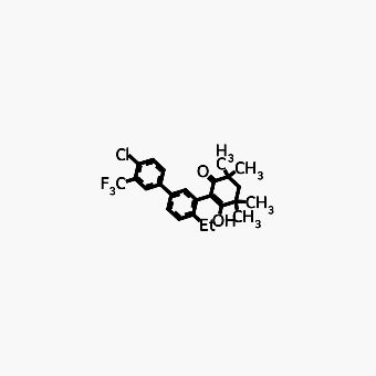 CCc1ccc(-c2ccc(Cl)c(C(F)(F)F)c2)cc1C1=C(O)C(C)(C)CC(C)(C)C1=O